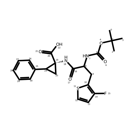 CC(C)(C)OC(=O)NC(Cc1sccc1F)C(=O)N[C@]1(C(=O)O)CC1c1ccccc1